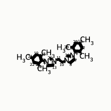 Cc1cc(C)c(-[n+]2ccn(CCn3cc[n+](-c4c(C)cc(C)cc4C)c3)c2)c(C)c1